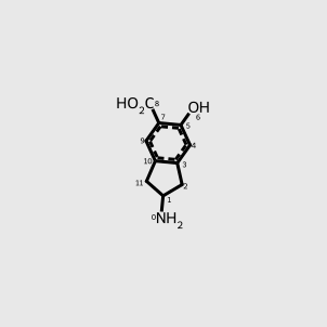 NC1Cc2cc(O)c(C(=O)O)cc2C1